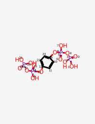 O=P(O)(O)OP(=O)(O)Oc1ccc(OP(=O)(O)OP(=O)(O)O)cc1